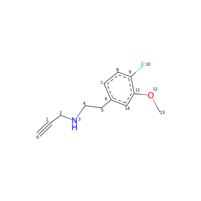 C#CCNCCc1ccc(F)c(OC)c1